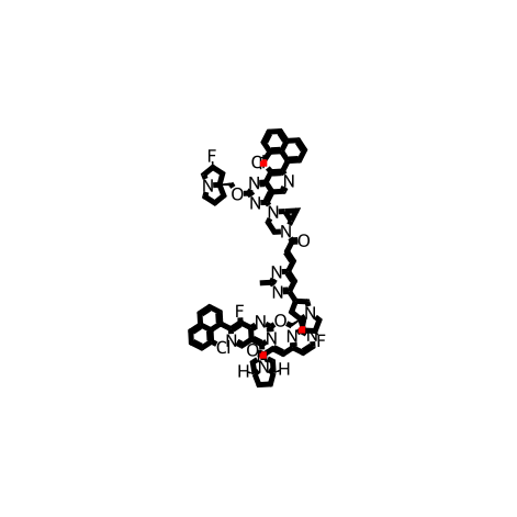 Cc1nccc(/C=C/C(=O)N2[C@@H]3CC[C@H]2CN(c2nc(OC[C@@]45CC(c6cc(/C=C/C(=O)N7CCN(c8nc(OC[C@@]9%10CCCN9C[C@H](F)C%10)nc9c(F)c(-c%10cccc%11cccc(Cl)c%10%11)ncc89)C8CC87)nc(C)n6)CN4C[C@H](F)C5)nc4c(F)c(-c5cccc6cccc(Cl)c56)ncc24)C3)n1